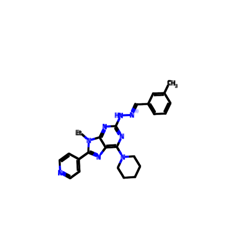 CCn1c(-c2ccncc2)nc2c(N3CCCCC3)nc(N/N=C/c3cccc(C)c3)nc21